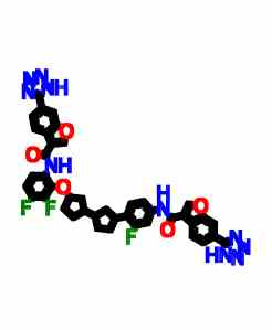 O=C(Nc1ccc(C2CCC(C3CCC(Oc4c(NC(=O)c5coc6cc(-c7nnn[nH]7)ccc56)ccc(F)c4F)C3)C2)c(F)c1)c1coc2cc(-c3nnn[nH]3)ccc12